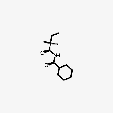 CCC(C)(C)C(=O)NC(=O)C1CCCCC1